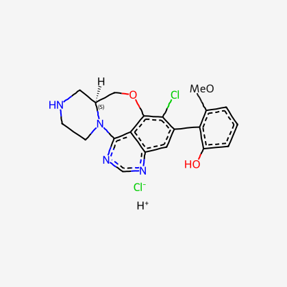 COc1cccc(O)c1-c1cc2ncnc3c2c(c1Cl)OC[C@@H]1CNCCN31.[Cl-].[H+]